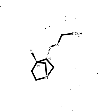 O=C(O)CSC[C@@H]1CN2CC[C@H]1C2